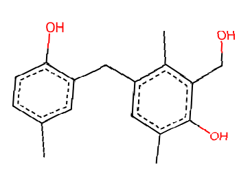 Cc1ccc(O)c(Cc2cc(C)c(O)c(CO)c2C)c1